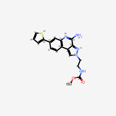 CC(C)(C)OC(=O)NCCn1cc2c(n1)c(N)nc1cc(-c3cccs3)ccc12